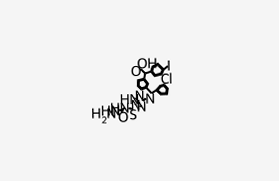 NNC(=O)NC(=S)N1N=C2N=C(c3cccc(Cl)c3)c3cc(C(C(=O)O)c4ccc(I)cc4)ccc3N2N1